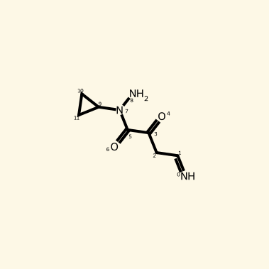 N=CCC(=O)C(=O)N(N)C1CC1